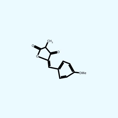 COc1ccc(/C=C2/OC(=O)C(C)C2=O)cc1